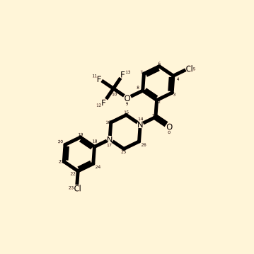 O=C(c1cc(Cl)ccc1OC(F)(F)F)N1CCN(c2cccc(Cl)c2)CC1